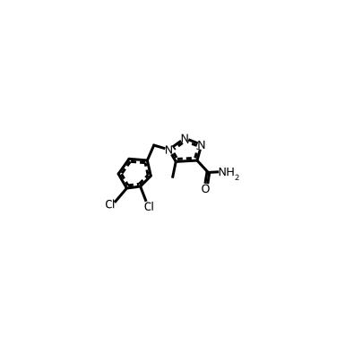 Cc1c(C(N)=O)nnn1Cc1ccc(Cl)c(Cl)c1